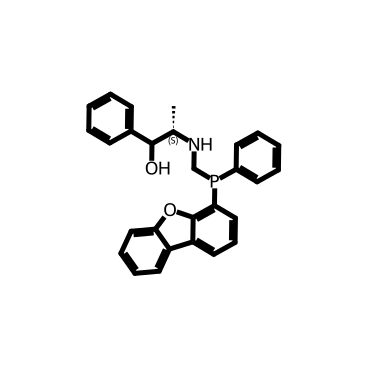 C[C@H](NCP(c1ccccc1)c1cccc2c1oc1ccccc12)C(O)c1ccccc1